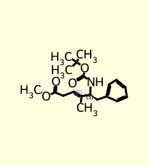 COC(=O)C/C=C(\C)[C@H](Cc1ccccc1)NC(=O)OC(C)(C)C